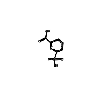 O=C(O)c1cccc(S(=O)(=O)O)n1